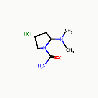 CN(C)C1CCCN1C(N)=O.Cl